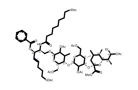 CCCCCCCCCCCCC/C=C/[C@@H](OC(=O)c1ccccc1)[C@H](CO[C@@H]1O[C@@H](COC(C)=O)[C@@H](O[C@@H]2OC(COC(C)=O)[C@H](C)[C@H](O[C@]3(C(=O)OC)CC(C)[C@@H](C)[C@H]([C@H](C)[C@@H](CC)OC(C)=O)O3)C2OC(C)=O)C(C)C1OC(C)=O)NC(=O)CCCCCCCCCCCCCCCCC